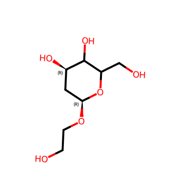 OCCO[C@H]1C[C@@H](O)C(O)C(CO)O1